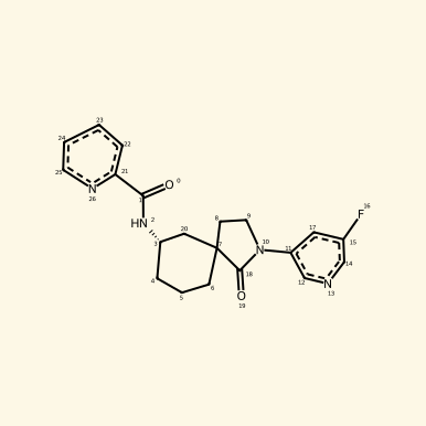 O=C(N[C@H]1CCCC2(CCN(c3cncc(F)c3)C2=O)C1)c1ccccn1